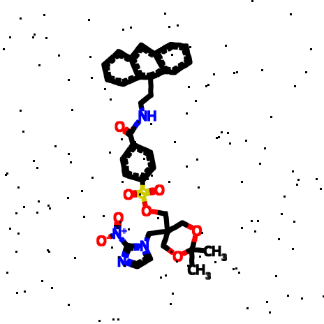 CC1(C)OCC(COS(=O)(=O)c2ccc(C(=O)NCCc3c4ccccc4cc4ccccc34)cc2)(Cn2ccnc2[N+](=O)[O-])CO1